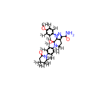 [2H]c1c([2H])c(-n2nc(C(N)=O)c3c2C(=O)N(c2c([2H])c([2H])c(N4C(=O)CC([2H])([2H])C([2H])([2H])C4([2H])[2H])c([2H])c2[2H])C([2H])([2H])C3)c([2H])c([2H])c1OC